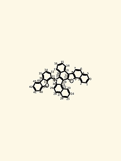 c1ccc2c(c1)ccc1c2oc2c1c1ccccc1c1c2c2c3ccccc3ccc2n1-c1cccc2c1oc1ccccc12